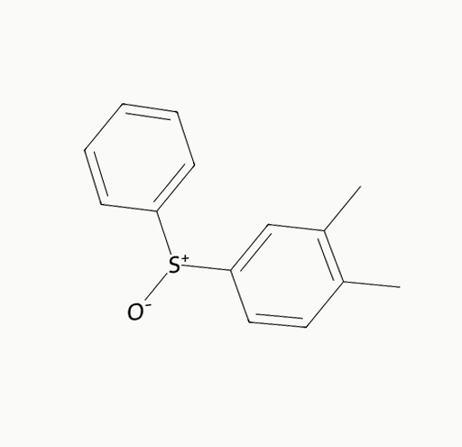 Cc1ccc([S+]([O-])c2ccccc2)cc1C